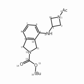 CC(=O)N1CC(Nc2cccc3c2CN(C(=O)OC(C)(C)C)C3)C1